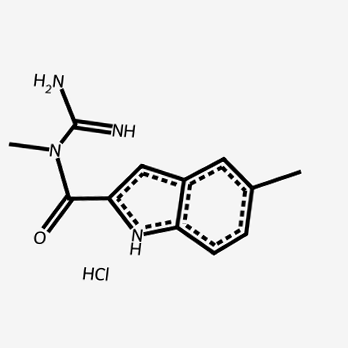 Cc1ccc2[nH]c(C(=O)N(C)C(=N)N)cc2c1.Cl